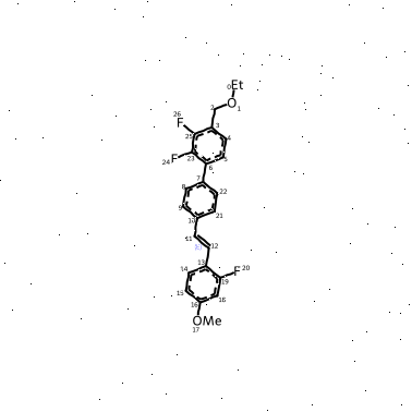 CCOCc1ccc(-c2ccc(/C=C/c3ccc(OC)cc3F)cc2)c(F)c1F